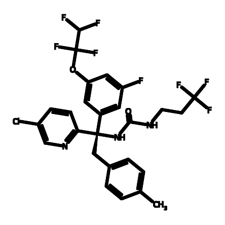 Cc1ccc(C[C@](NC(=O)NCCC(F)(F)F)(c2cc(F)cc(OC(F)(F)C(F)F)c2)c2ccc(Cl)cn2)cc1